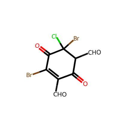 O=CC1=C(Br)C(=O)C(Cl)(Br)C(C=O)C1=O